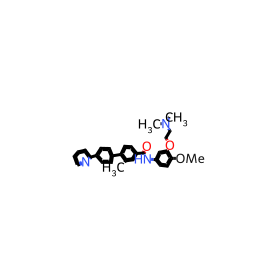 COc1ccc(NC(=O)c2ccc(-c3ccc(-c4ccccn4)cc3)c(C)c2)cc1OCCN(C)C